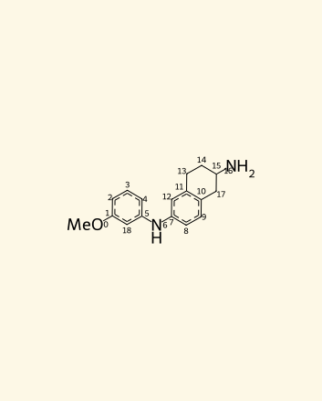 COc1cccc(Nc2ccc3c(c2)CCC(N)C3)c1